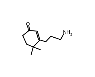 CC1(C)CCC(=O)C=C1CCCN